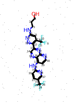 OCCCNc1cc(C(F)(F)F)c(-c2cnc3c(Nc4ccc(C(F)(F)F)cn4)ccnc3n2)nn1